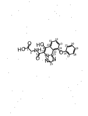 O=C(O)CNC(=O)c1c(O)c2cccc(Oc3ccccc3)c2c2ncnn12